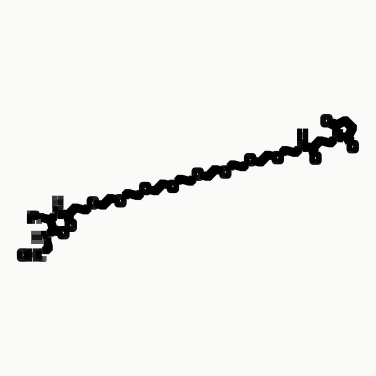 CC(C)C(NC(=O)CCOCCOCCOCCOCCOCCOCCOCCOCCNC(=O)CCN1C(=O)CCC1=O)C(=O)NCC=O